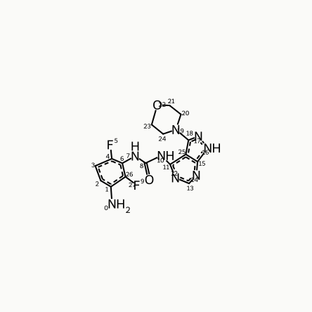 Nc1ccc(F)c(NC(=O)Nc2ncnc3[nH]nc(N4CCOCC4)c23)c1F